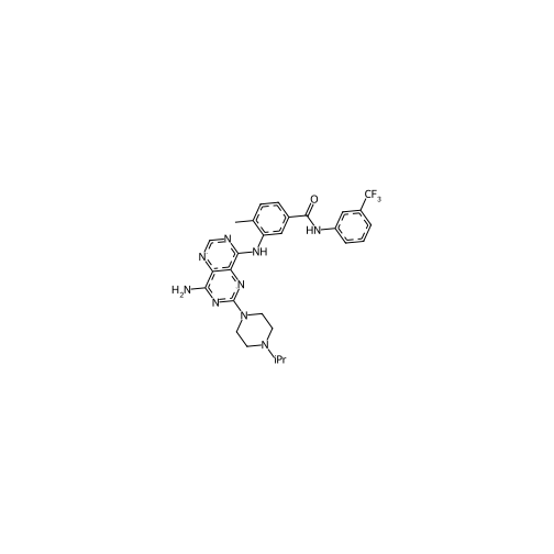 Cc1ccc(C(=O)Nc2cccc(C(F)(F)F)c2)cc1Nc1ncnc2c(N)nc(N3CCN(C(C)C)CC3)nc12